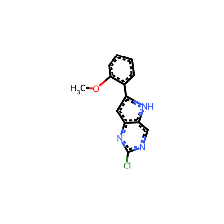 COc1ccccc1-c1cc2nc(Cl)ncc2[nH]1